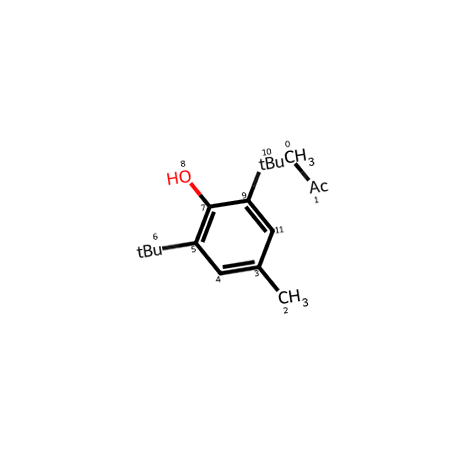 CC(C)=O.Cc1cc(C(C)(C)C)c(O)c(C(C)(C)C)c1